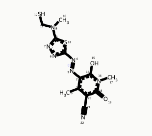 Cc1c(/N=N/c2nnc(N(C)CS)s2)c(O)n(C)c(=O)c1C#N